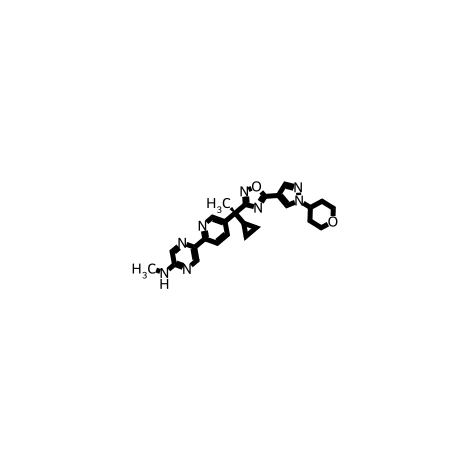 CNc1cnc(-c2ccc([C@](C)(c3noc(-c4cnn(C5CCOCC5)c4)n3)C3CC3)cn2)cn1